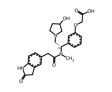 CN(C(=O)Cc1ccc2c(c1)CC(=O)N2)[C@H](CN1CCC(O)C1)c1cccc(OCC(=O)O)c1